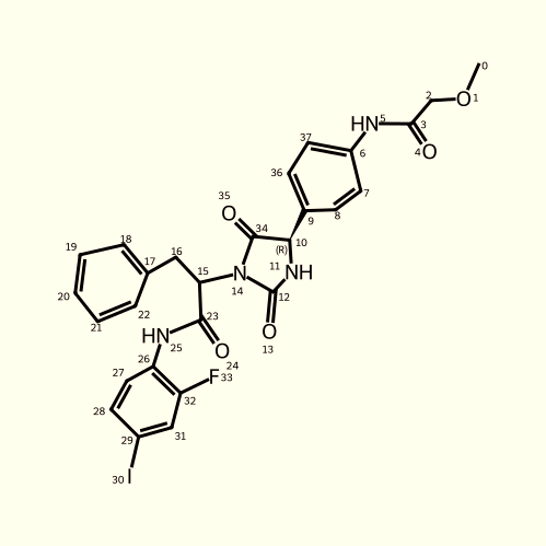 COCC(=O)Nc1ccc([C@H]2NC(=O)N(C(Cc3ccccc3)C(=O)Nc3ccc(I)cc3F)C2=O)cc1